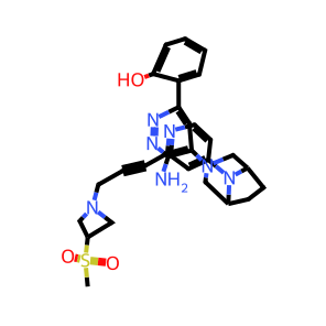 CS(=O)(=O)C1CN(CC#Cc2cc(N3C4CCC3CN(c3cc(-c5ccccc5O)nnc3N)C4)ccn2)C1